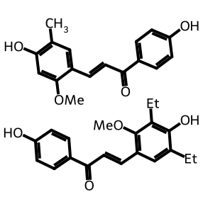 CCc1cc(C=CC(=O)c2ccc(O)cc2)c(OC)c(CC)c1O.COc1cc(O)c(C)cc1C=CC(=O)c1ccc(O)cc1